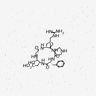 N=C(N)NCCC[C@@H]1NC(=O)CNC(O)[C@H](CC(=O)O)NC(=O)[C@@H](Cc2ccccc2)NC(=O)C2(CCNCC2)NC1=O